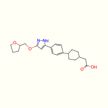 O=C(O)CC1CCC(c2ccc(-c3cc(OCC4CCCO4)n[nH]3)cc2)CC1